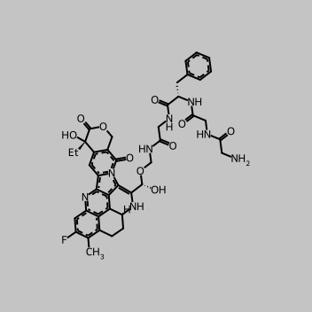 CC[C@@]1(O)C(=O)OCc2c1cc1c3nc4cc(F)c(C)c5c4c4c3c(n1c2=O)=C([C@@H](O)OCNC(=O)CNC(=O)[C@H](Cc1ccccc1)NC(=O)CNC(=O)CN)N[C@H]4CC5